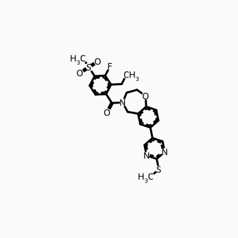 CCc1c(C(=O)N2CCOc3ccc(-c4cnc(SC)nc4)cc3C2)ccc(S(C)(=O)=O)c1F